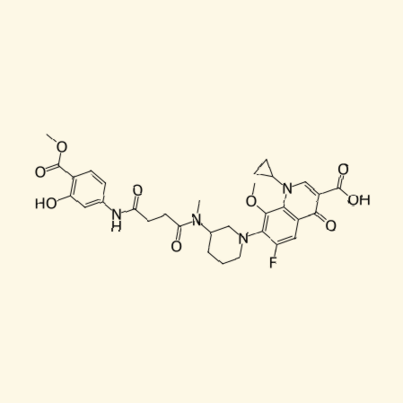 COC(=O)c1ccc(NC(=O)CCC(=O)N(C)C2CCCN(c3c(F)cc4c(=O)c(C(=O)O)cn(C5CC5)c4c3OC)C2)cc1O